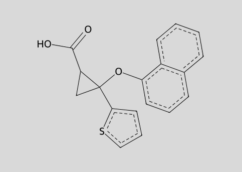 O=C(O)C1CC1(Oc1cccc2ccccc12)c1cccs1